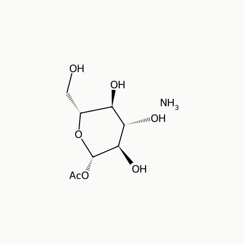 CC(=O)O[C@@H]1O[C@H](CO)[C@@H](O)[C@H](O)[C@H]1O.N